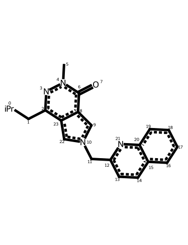 CC(C)Cc1nn(C)c(=O)c2cn(Cc3ccc4ccccc4n3)cc12